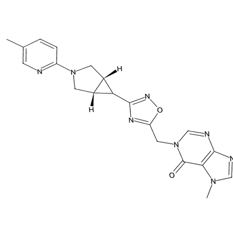 Cc1ccc(N2C[C@@H]3C(c4noc(Cn5cnc6ncn(C)c6c5=O)n4)[C@@H]3C2)nc1